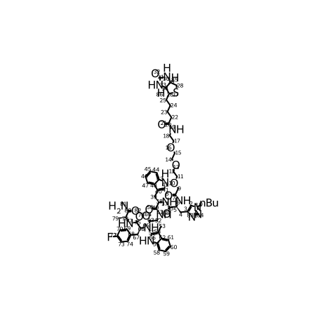 CCCCn1cc(C[C@H](NC(=O)COCCOCCOCCNC(=O)CCCCC2SC[C@@H]3NC(=O)N[C@H]23)C(=O)N[C@H](Cc2c[nH]c3ccccc23)C(=O)N[C@H](Cc2c[nH]c3ccccc23)C(=O)N[C@@H](Cc2ccc(F)cc2)C(=O)N[C@@H](C)C(N)=O)nn1